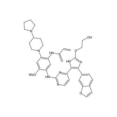 C=CC(=O)Nc1cc(Nc2nccc(-c3[nH]c(OCCO)nc3-c3ccc4ccoc4c3)n2)c(OC)cc1N1CCC(N2CCCC2)CC1